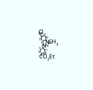 CCOC(=O)c1ccc(N=CN(C)c2ccc(CCl)cc2)cc1